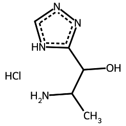 CC(N)C(O)c1nnc[nH]1.Cl